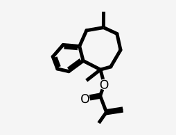 C=C(C)C(=O)OC1(C)CCCC(C)Cc2ccccc21